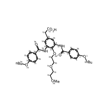 CCCCOc1ccc(C(=O)Nc2cc(CC(=O)O)cc(NC(=O)c3ccc(OCCCC)cc3)c2OCCOCCOC)cc1